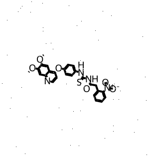 COc1cc2nccc(Oc3ccc(NC(=S)NC(=O)Cc4ccccc4[N+](=O)[O-])cc3)c2cc1OC